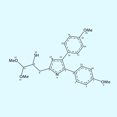 COc1ccc(-c2nc(CC(S)C(OC)OC)sc2-c2ccc(OC)cc2)cc1